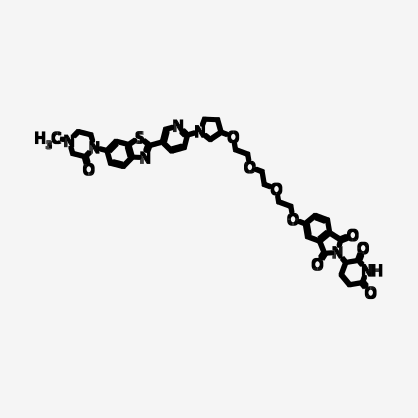 CN1CCN(c2ccc3nc(-c4ccc(N5CCC(OCCOCCOCCOc6ccc7c(c6)C(=O)N(C6CCC(=O)NC6=O)C7=O)C5)nc4)sc3c2)C(=O)C1